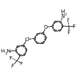 Nc1cc(Oc2cccc(Oc3ccc(C(F)(F)F)c(N)c3)c2)ccc1C(F)(F)F